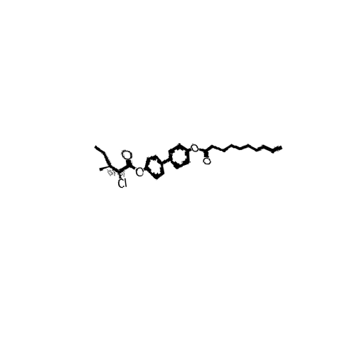 CCCCCCCCCC(=O)Oc1ccc(-c2ccc(OC(=O)[C@@H](Cl)[C@@H](C)CC)cc2)cc1